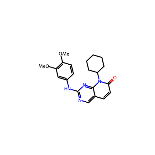 COc1ccc(Nc2ncc3ccc(=O)n(C4CCCCC4)c3n2)cc1OC